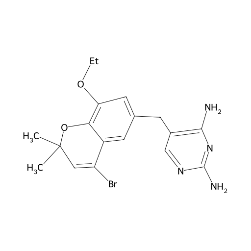 CCOc1cc(Cc2cnc(N)nc2N)cc2c1OC(C)(C)C=C2Br